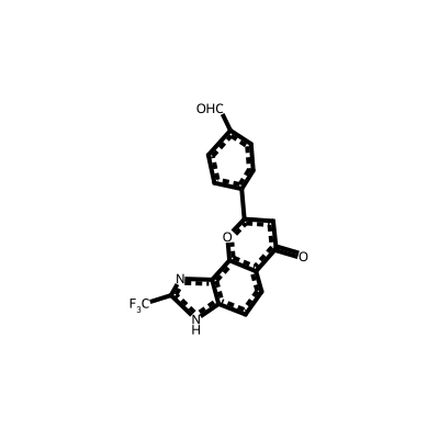 O=Cc1ccc(-c2cc(=O)c3ccc4[nH]c(C(F)(F)F)nc4c3o2)cc1